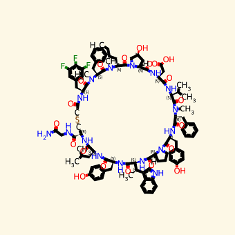 CCCC[C@H]1C(=O)N2C[C@@H](O)C[C@@H]2C(=O)N[C@@H](CC(=O)O)C(=O)N[C@@H](C(C)C)C(=O)N(C)[C@H](Cc2ccccc2)C(=O)N[C@@H](Cc2ccc(O)cc2)C(=O)N2CCC[C@@H]2C(=O)N[C@@H]([C@@H](C)c2c[nH]c3ccccc23)C(=O)N[C@@H](Cc2ccc(O)cc2)C(=O)N[C@@H](CC(C)C)C(=O)N[C@H](C(=O)NCC(N)=O)CSCC(=O)N[C@@H](Cc2cc(F)c(F)c(F)c2)C(=O)N(C)[C@@H](Cc2ccccc2)C(=O)N1C